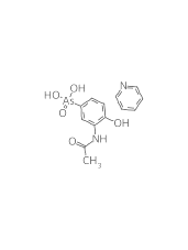 CC(=O)Nc1cc([As](=O)(O)O)ccc1O.c1ccncc1